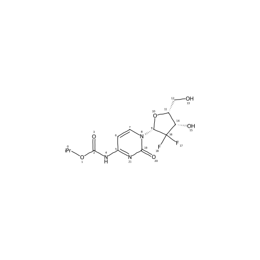 CC(C)OC(=O)Nc1ccn([C@@H]2O[C@H](CO)[C@H](O)C2(F)F)c(=O)n1